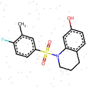 Cc1cc(S(=O)(=O)N2CCCc3ccc(O)cc32)ccc1F